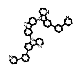 c1cncc(-c2cccc(-c3ccc4c(c3)c3ncccc3n4-c3ccc4oc5ccc(-n6c7ccc(-c8cccc(-c9cccnc9)c8)cc7c7ncccc76)cc5c4c3)c2)c1